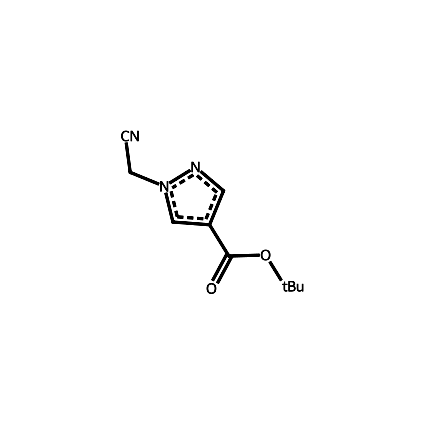 CC(C)(C)OC(=O)c1cnn(CC#N)c1